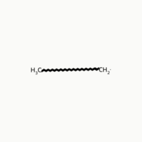 [CH2]C/C=C/CCCCCCCCCCCCCCCCCCCCCCCCCC